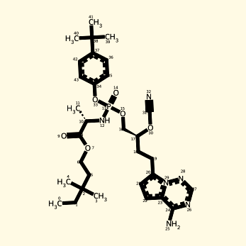 CCC(C)(C)CCOC(=O)[C@H](C)NP(=O)(OC[C@H](CCc1ccc2c(N)ncnn12)OC#N)Oc1ccc(C(C)(C)C)cc1